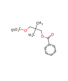 CCOC(=O)OCC(C)(C)COC(=O)c1ccccc1